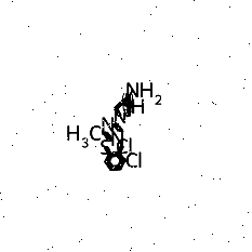 Cc1nc(N2CC3[C@@H](N)[C@@H]3C2)cnc1Sc1cccc(Cl)c1Cl